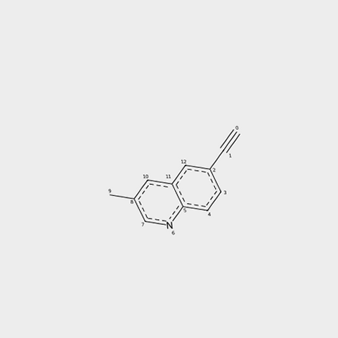 C#Cc1ccc2ncc(C)cc2c1